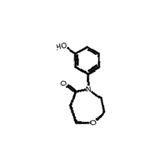 O=C1CCOCCN1c1cccc(O)c1